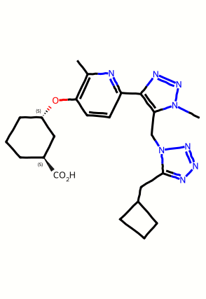 Cc1nc(-c2nnn(C)c2Cn2nnnc2CC2CCC2)ccc1O[C@H]1CCC[C@H](C(=O)O)C1